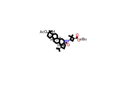 C=C(C)[C@@H]1CC[C@]2(C(=O)N[C@@H]3C[C@H](C(=O)OCCCC)C3(C)C)CC[C@]3(C)[C@H](CC[C@@H]4[C@@]5(C)CC[C@H](OC(C)=O)C(C)(C)[C@@H]5CC[C@]43C)[C@@H]12